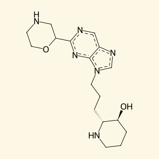 O[C@H]1CCCN[C@@H]1CCCn1cnc2cnc(C3CNCCO3)nc21